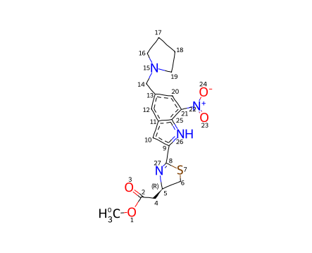 COC(=O)C[C@@H]1CSC(c2cc3cc(CN4CCCC4)cc([N+](=O)[O-])c3[nH]2)=N1